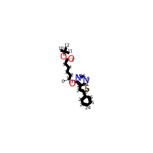 C[C@H](CCCCC(=O)OC(C)(C)C)Oc1ncnc2sc(-c3ccccc3)cc12